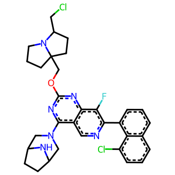 Fc1c(-c2cccc3cccc(Cl)c23)ncc2c(N3CC4CCC(C3)N4)nc(OCC34CCCN3C(CCl)CC4)nc12